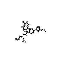 CCN(CC)CCn1c2ccc(-c3nnc(C)o3)cc2c2c3c(ccc21)C(=O)CC3